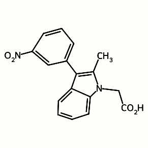 Cc1c(-c2cccc([N+](=O)[O-])c2)c2ccccc2n1CC(=O)O